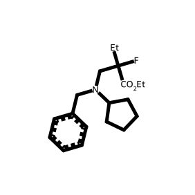 CCOC(=O)C(F)(CC)CN(Cc1ccccc1)C1CCCC1